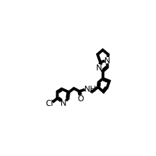 O=C(Cc1ccc(Cl)nc1)NCc1cccc(-c2cn3c(n2)CCC3)c1